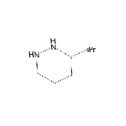 CC(C)C1CCCNN1